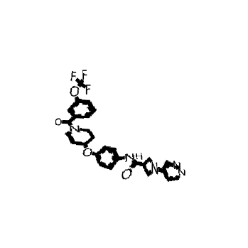 O=C(Nc1ccc(OC2CCN(C(=O)c3cccc(OC(F)(F)F)c3)CC2)cc1)C1CN(c2ccnnc2)C1